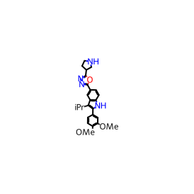 COc1ccc(-c2[nH]c3ccc(-c4nnc(C5CCNC5)o4)cc3c2C(C)C)cc1OC